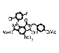 COc1ccc(CN2C(=O)c3c(c([N+](=O)[O-])cc4c(OC)nn(-c5cc(F)ccc5Cl)c34)C2O)cc1